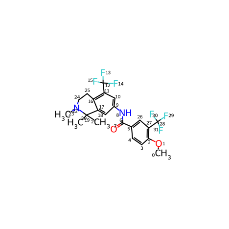 COc1ccc(C(=O)Nc2cc(C(F)(F)F)c3c(c2)C(C)(C)N(C)CC3)cc1C(F)(F)F